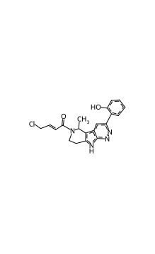 CC1c2c([nH]c3nnc(-c4ccccc4O)cc23)CCN1C(=O)/C=C/CCl